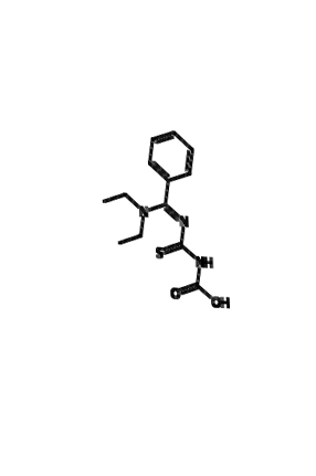 CCN(CC)C(=NC(=S)NC(=O)O)c1ccccc1